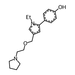 CCn1cc(COCCN2CCCC2)cc1-c1ccc(O)cc1